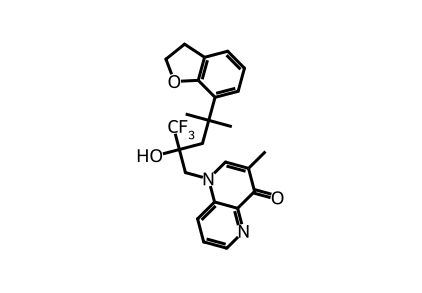 Cc1cn(CC(O)(CC(C)(C)c2cccc3c2OCC3)C(F)(F)F)c2cccnc2c1=O